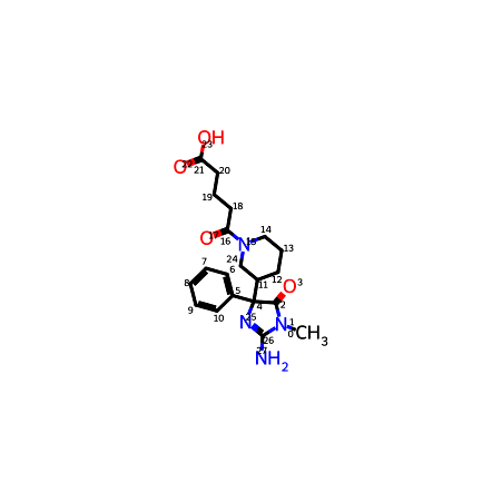 CN1C(=O)C(c2ccccc2)(C2CCCN(C(=O)CCCC(=O)O)C2)N=C1N